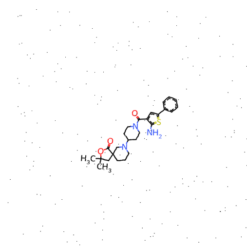 CC1(C)CC2(CCCN(C3CCN(C(=O)c4cc(-c5ccccc5)sc4N)CC3)C2)C(=O)O1